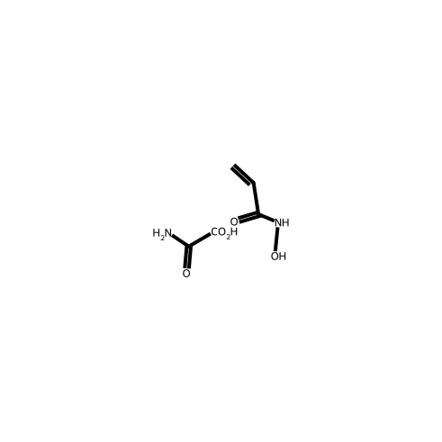 C=CC(=O)NO.NC(=O)C(=O)O